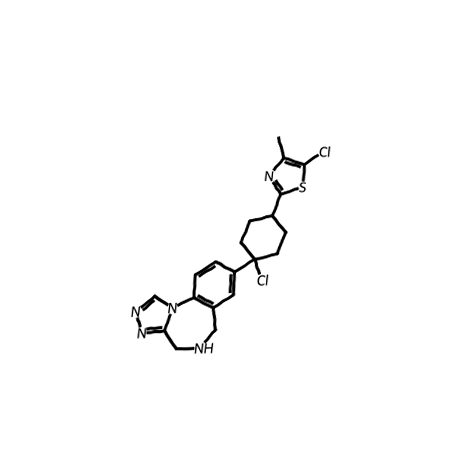 Cc1nc(C2CCC(Cl)(c3ccc4c(c3)CNCc3nncn3-4)CC2)sc1Cl